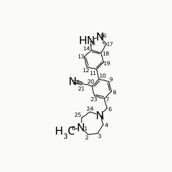 CN1CCCN(Cc2ccc(-c3ccc4[nH]ncc4c3)c(C#N)c2)CC1